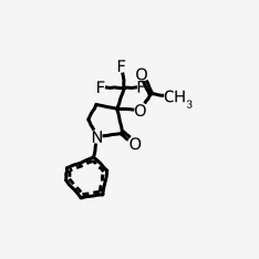 CC(=O)OC1(C(F)(F)F)CCN(c2ccccc2)C1=O